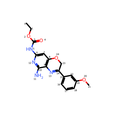 CCOC(=O)Nc1cc2c(c(N)n1)N=C(c1cccc(OC)c1)CO2